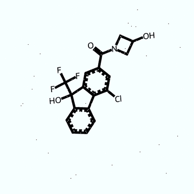 O=C(c1cc(Cl)c2c(c1)C(O)(C(F)(F)F)c1ccccc1-2)N1CC(O)C1